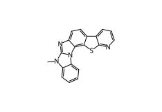 Cn1c2ccccc2n2c3c(ccc4c5cccnc5sc43)nc12